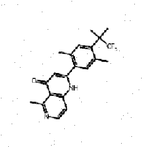 Cc1cc(C(C)(C)C(F)(F)F)c(C)cc1-c1cc(=O)c2c(C)nccc2[nH]1